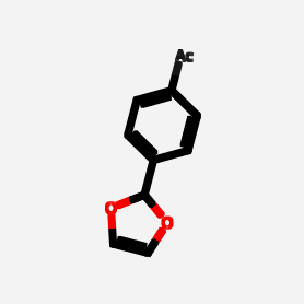 CC(=O)c1ccc(C2OC=CO2)cc1